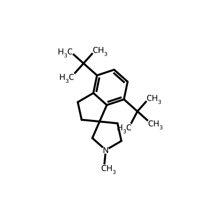 CN1CCC2(CCc3c(C(C)(C)C)ccc(C(C)(C)C)c32)C1